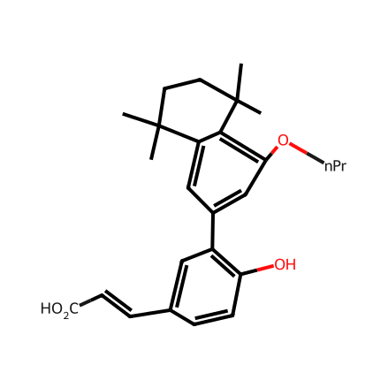 CCCOc1cc(-c2cc(C=CC(=O)O)ccc2O)cc2c1C(C)(C)CCC2(C)C